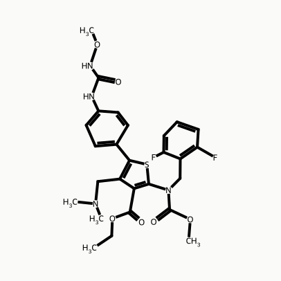 CCOC(=O)c1c(N(Cc2c(F)cccc2F)C(=O)OC)sc(-c2ccc(NC(=O)NOC)cc2)c1CN(C)C